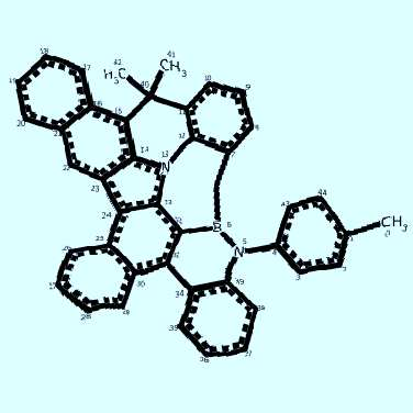 Cc1ccc(N2B3c4cccc5c4-n4c6c(c7ccccc7cc6c6c7ccccc7c(c3c64)-c3ccccc32)C5(C)C)cc1